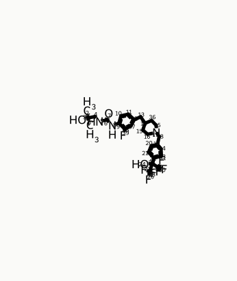 CC(C)(O)CNC(=O)Nc1ccc(CC2CCN(Cc3ccc(C(O)(C(F)(F)F)C(F)(F)F)cc3)CC2)cc1F